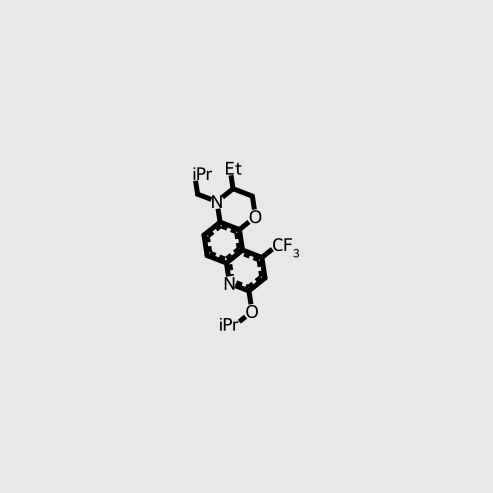 CCC1COc2c(ccc3nc(OC(C)C)cc(C(F)(F)F)c23)N1CC(C)C